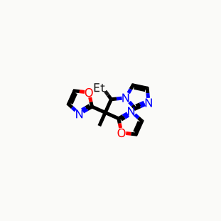 CC[C](n1ccnc1)C(C)(c1ncco1)c1ncco1